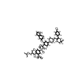 CC(C)OCC1COc2cc(S(=O)(=O)NC(=O)c3ccc(N4CCN(CC5=C(c6ccc(Cl)cc6)CC(C)(C)CC5)CC4)cc3Oc3cnc4[nH]ccc4c3)cc([N+](=O)[O-])c2N1